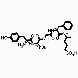 CCCC[C@@H](NC(=O)[C@@H](N)Cc1ccc(O)cc1)C(=O)NCC(=O)N[C@@H](Cc1ccccc1)C(=O)NC(C)CCCS(=O)(=O)O